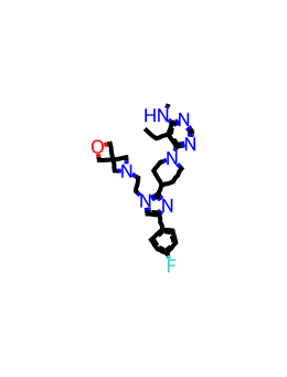 CCc1c(NC)ncnc1N1CCC(c2nc(-c3ccc(F)cc3)cn2CCN2CC3(COC3)C2)CC1